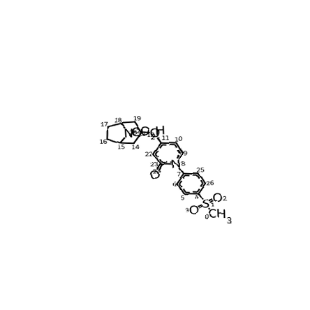 CS(=O)(=O)c1ccc(-n2ccc(OC3CC4CCC(C3)N4C(=O)O)cc2=O)cc1